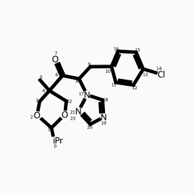 CC(C)C1OCC(C)(C(=O)C(Cc2ccc(Cl)cc2)n2cncn2)CO1